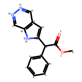 COC(=O)C(c1ccccc1)c1cc2cnncc2[nH]1